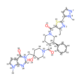 Cc1nc(-c2ccnn2C)sc1C(=O)N1CC[C@@H](C(=O)N2CCC(O)(Cn3cnc4c(ccn4C)c3=O)CC2)[C@H](c2ccccc2)C1